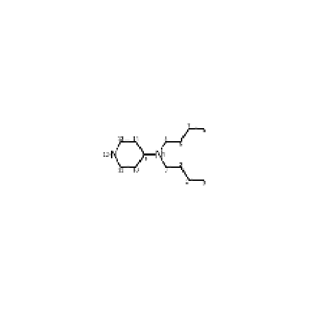 CCCCN(CCCC)C1CC[N]CC1